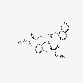 CC(C)(C)OC(=O)NCCCCN(Cc1nccc2ccccc12)C[C@H]1Cc2ccccc2CN1C(=O)OC(C)(C)C